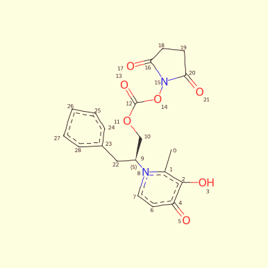 Cc1c(O)c(=O)ccn1[C@H](COC(=O)ON1C(=O)CCC1=O)Cc1ccccc1